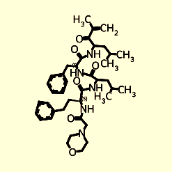 C=C(C)C(=O)C(CC(C)C)NC(=O)[C@H](Cc1ccccc1)NC(=O)C(CC(C)C)NC(=O)[C@H](CCc1ccccc1)NC(=O)CN1CCOCC1